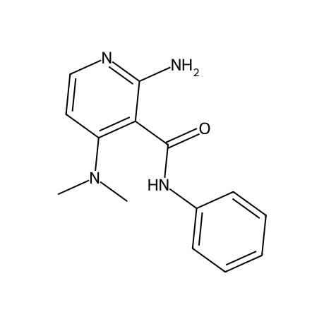 CN(C)c1ccnc(N)c1C(=O)Nc1ccccc1